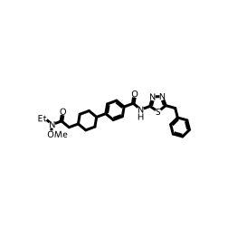 CCN(OC)C(=O)CC1CCC(c2ccc(C(=O)Nc3nnc(Cc4ccccc4)s3)cc2)CC1